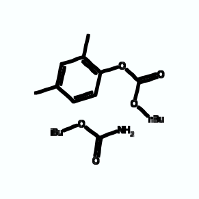 CCC(C)OC(N)=O.CCCCOC(=O)Oc1ccc(C)cc1C